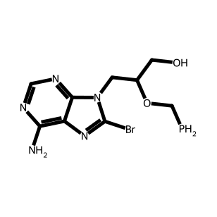 Nc1ncnc2c1nc(Br)n2CC(CO)OCP